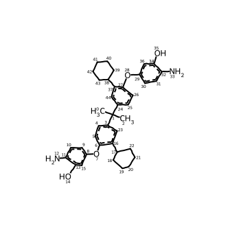 CC(C)(c1ccc(Oc2ccc(N)c(O)c2)c(C2CCCCC2)c1)c1ccc(Oc2ccc(N)c(O)c2)c(C2CCCCC2)c1